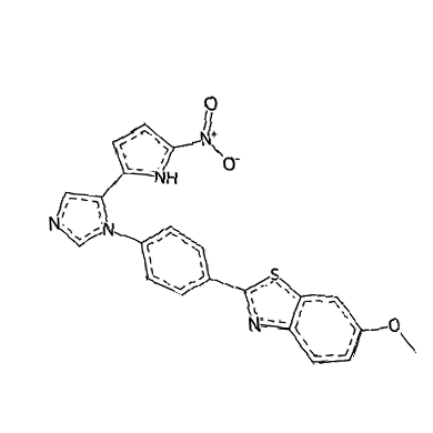 COc1ccc2nc(-c3ccc(-n4cncc4-c4ccc([N+](=O)[O-])[nH]4)cc3)sc2c1